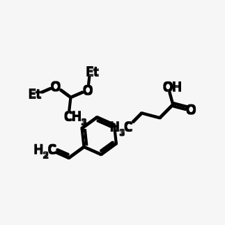 C=Cc1ccccc1.CCCC(=O)O.CCOC(C)OCC